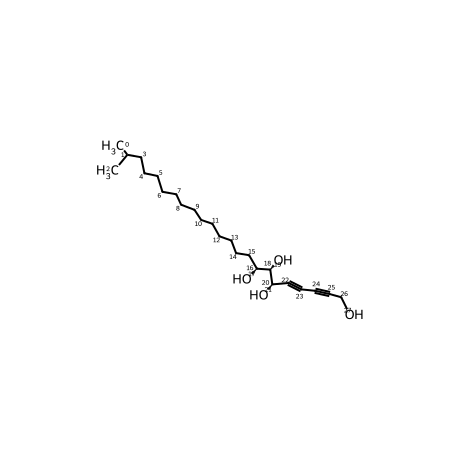 CC(C)CCCCCCCCCCCCC[C@H](O)[C@@H](O)[C@H](O)C#CC#CCO